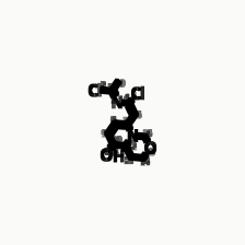 C/C(Cl)=N\C(Cl)=C/C1=C=CC(=O)[C@@H]2CCOCN12